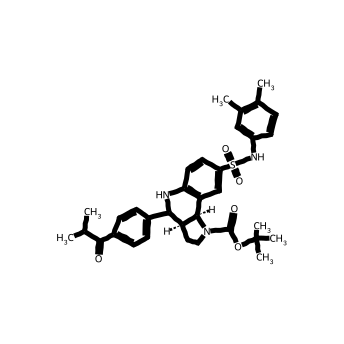 Cc1ccc(NS(=O)(=O)c2ccc3c(c2)[C@@H]2[C@@H](CCN2C(=O)OC(C)(C)C)C(c2ccc(C(=O)C(C)C)cc2)N3)cc1C